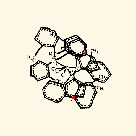 Cc1ccccc1[PH](c1ccccc1C)(c1ccccc1C)[Ir]([Cl])([Cl])([Cl])([PH](c1ccccc1C)(c1ccccc1C)c1ccccc1C)[PH](c1ccccc1C)(c1ccccc1C)c1ccccc1C